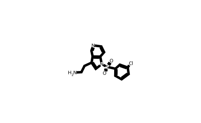 NCCc1cn(S(=O)(=O)c2cccc(Cl)c2)c2ccncc12